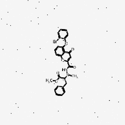 COC(=O)[C@H](Cc1ccccc1)N(C)NC(=O)c1cc(=O)c2c(Oc3ccccc3Br)cccc2o1